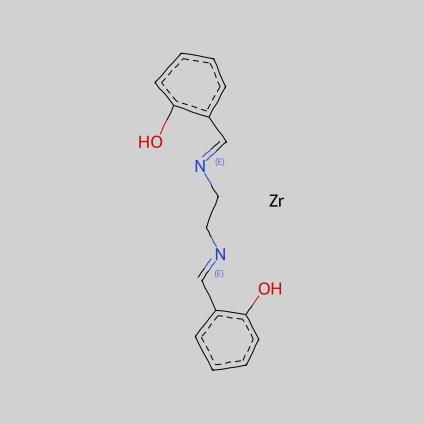 Oc1ccccc1/C=N/CC/N=C/c1ccccc1O.[Zr]